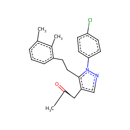 CC(=O)Cc1cnn(-c2ccc(Cl)cc2)c1CCc1cccc(C)c1C